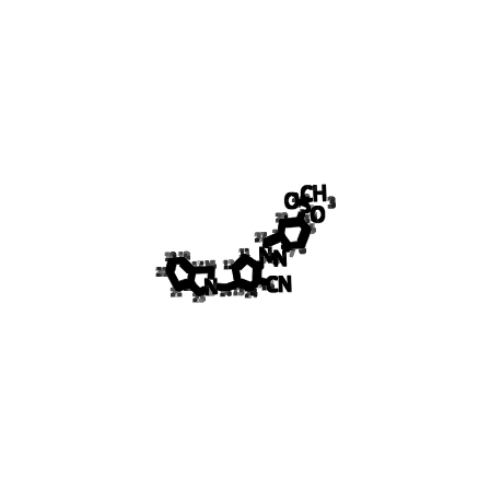 CS(=O)(=O)c1ccc2nn(-c3ccc(CN4Cc5ccccc5C4)cc3C#N)cc2c1